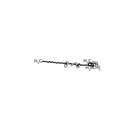 CCCCCCCCCCCCCCCCCC(=O)OCCSCCOC(=O)CCCCCCc1cc(C)c(O)c(C(C)(C)C)c1